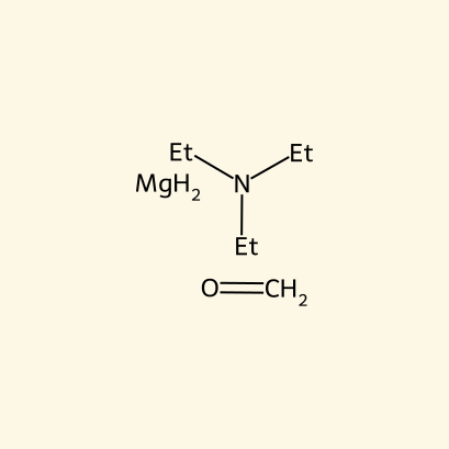 C=O.CCN(CC)CC.[MgH2]